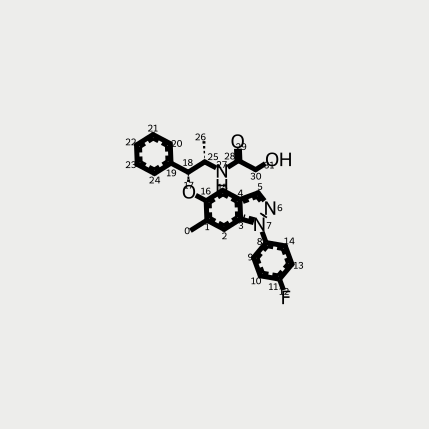 Cc1cc2c(cnn2-c2ccc(F)cc2)cc1O[C@H](c1ccccc1)[C@H](C)NC(=O)CO